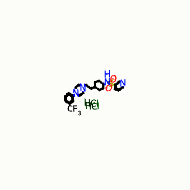 Cl.Cl.O=S(=O)(NC1CCC(CCN2CCN(c3cccc(C(F)(F)F)c3)CC2)CC1)c1cccnc1